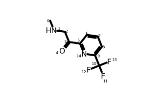 CNCC(=O)c1cccc(C(F)(F)F)n1